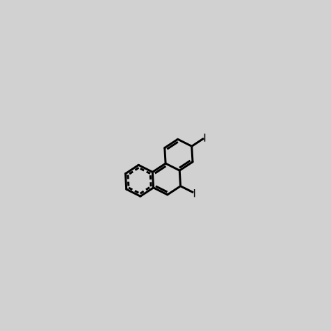 IC1C=CC2=c3ccccc3=CC(I)C2=C1